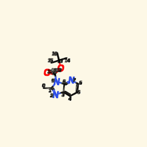 Cc1nc2cccnc2n1C(=O)OC(C)(C)C